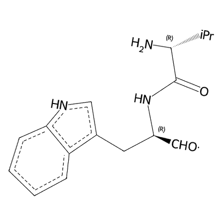 CC(C)[C@@H](N)C(=O)N[C@@H]([C]=O)Cc1c[nH]c2ccccc12